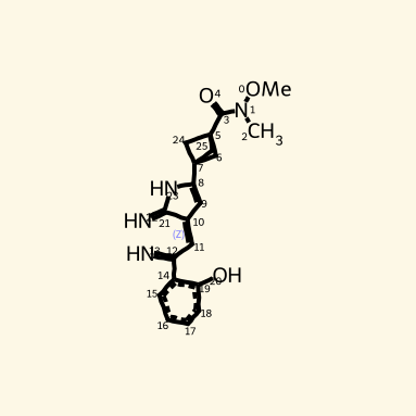 CON(C)C(=O)C12CC(C3=C/C(=C/C(=N)c4ccccc4O)C(=N)N3)(C1)C2